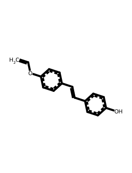 C=COc1ccc(C=Cc2ccc(O)cc2)cc1